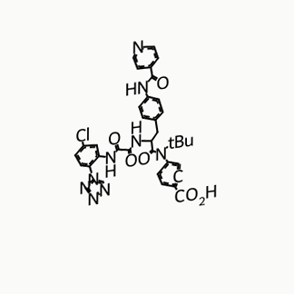 CC(C)(C)N(C(=O)C(Cc1ccc(NC(=O)c2ccncc2)cc1)NC(=O)C(=O)Nc1cc(Cl)ccc1-n1cnnn1)c1ccc(C(=O)O)cc1